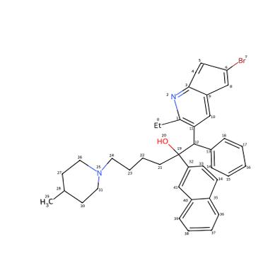 CCc1nc2ccc(Br)cc2cc1C(c1ccccc1)C(O)(CCCCN1CCC(C)CC1)c1ccc2ccccc2c1